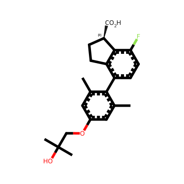 Cc1cc(OCC(C)(C)O)cc(C)c1-c1ccc(F)c2c1CC[C@H]2C(=O)O